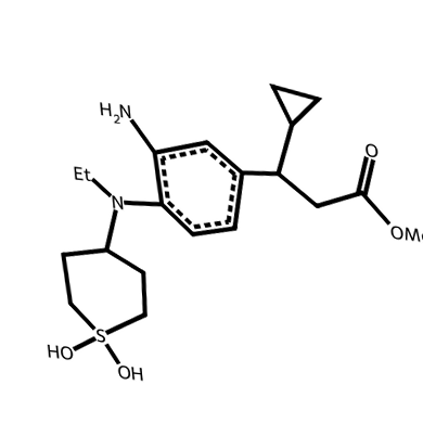 CCN(c1ccc(C(CC(=O)OC)C2CC2)cc1N)C1CCS(O)(O)CC1